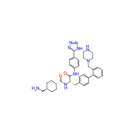 NC[C@H]1CC[C@H](C(=O)N[C@@H](Cc2ccc(-c3ccccc3CN3CCNCC3)cc2)C(=O)Nc2ccc(-c3nnn[nH]3)cc2)CC1